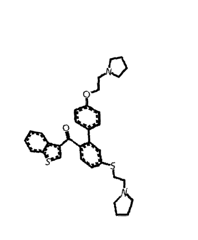 O=C(c1ccc(SCCN2CCCC2)cc1-c1ccc(OCCN2CCCC2)cc1)c1csc2ccccc12